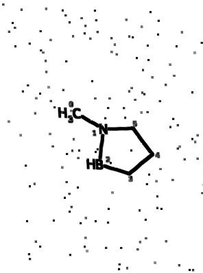 CN1BCCC1